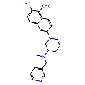 CN(Cc1cccnc1)C1CCCN(c2ccc3c(C=O)c(O)ccc3c2)C1